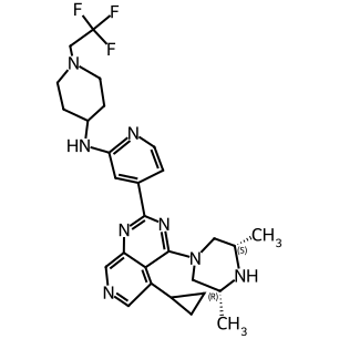 C[C@@H]1CN(c2nc(-c3ccnc(NC4CCN(CC(F)(F)F)CC4)c3)nc3cncc(C4CC4)c23)C[C@H](C)N1